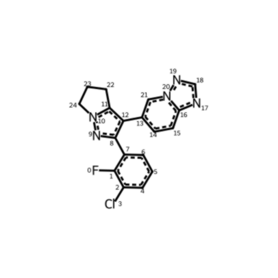 Fc1c(Cl)cccc1-c1nn2c(c1-c1ccc3ncnn3c1)CCC2